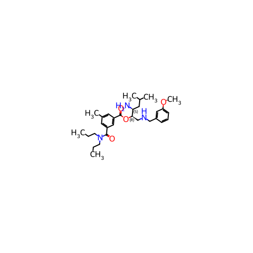 CCCN(CCC)C(=O)c1cc(C)cc(C(=O)O[C@H](CNCc2cccc(OC)c2)[C@@H](N)CC(C)C)c1